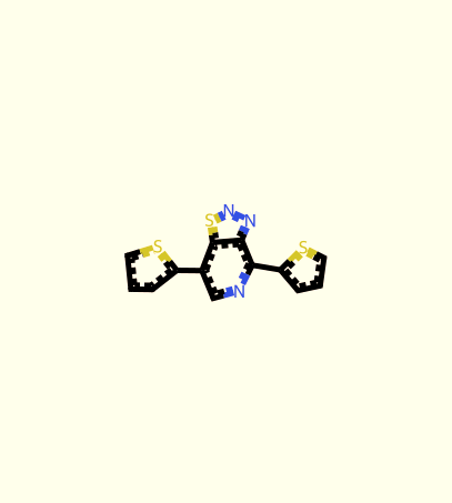 c1csc(-c2ncc(-c3cccs3)c3snnc23)c1